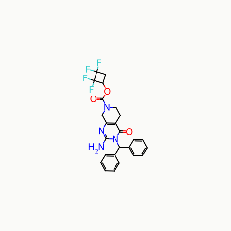 Nc1nc2c(c(=O)n1C(c1ccccc1)c1ccccc1)CCN(C(=O)OC1CC(F)(F)C1(F)F)C2